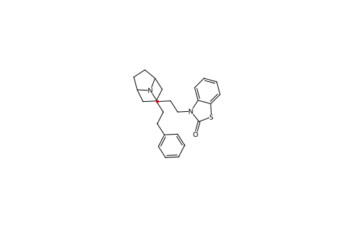 O=c1sc2ccccc2n1CCCN1C2CCC1CC(CCc1ccccc1)C2